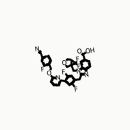 N#Cc1ccc(COc2cccc(-c3cc(F)c(Cc4nc5ccc(C(=O)O)cc5n4CC45COCC4C5(F)F)cc3F)n2)c(F)c1